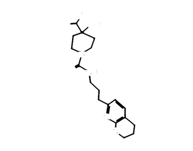 CC(=O)C(O)C1(O)CCN(C(=O)NCCCc2ccc3c(n2)NCCC3)CC1